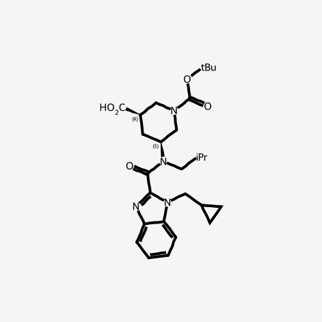 CC(C)CN(C(=O)c1nc2ccccc2n1CC1CC1)[C@H]1C[C@@H](C(=O)O)CN(C(=O)OC(C)(C)C)C1